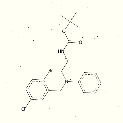 CC(C)(C)OC(=O)NCCN(Cc1cc(Cl)ccc1Br)c1ccccc1